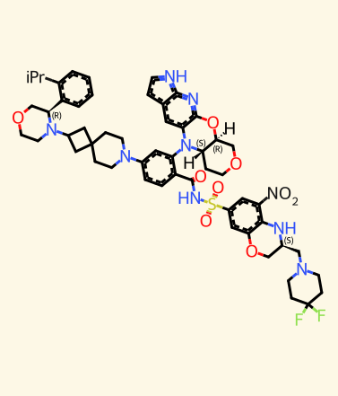 CC(C)c1ccccc1[C@@H]1COCCN1C1CC2(CCN(c3ccc(C(=O)NS(=O)(=O)c4cc5c(c([N+](=O)[O-])c4)N[C@@H](CN4CCC(F)(F)CC4)CO5)c(N4c5cc6cc[nH]c6nc5O[C@H]5COCC[C@@H]54)c3)CC2)C1